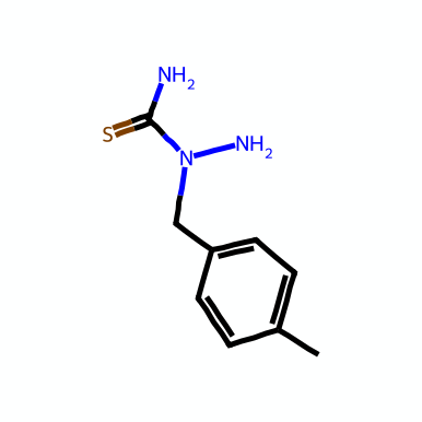 Cc1ccc(CN(N)C(N)=S)cc1